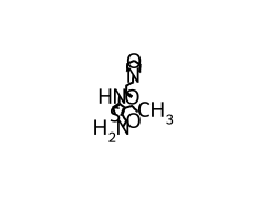 CCCc1c(NC(=O)CCN2CCOCC2)csc1C(N)=O